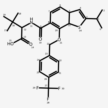 CC(C)C1=CC2C=CC(C(=O)NC(C(=O)O)C(C)(C)C)=C(OCc3ccc(C(F)(F)F)cc3)C2S1